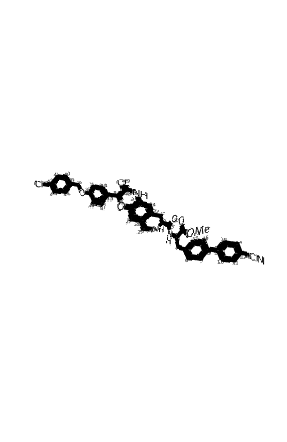 COC(=O)C(Cc1ccc(-c2ccc(C#N)cc2)cc1)NC(=O)C1Cc2cc3c(cc2CN1)OC(c1ccc(OCc2ccc(Cl)cc2)cc1)C(=O)N3